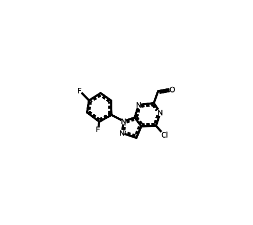 O=Cc1nc(Cl)c2cnn(-c3ccc(F)cc3F)c2n1